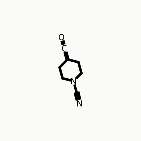 N#CN1CCC(=C=O)CC1